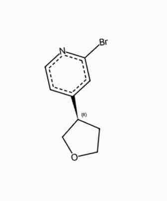 Brc1cc([C@H]2CCOC2)ccn1